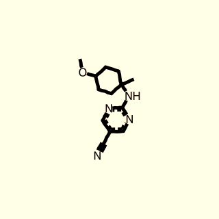 COC1CCC(C)(Nc2ncc(C#N)cn2)CC1